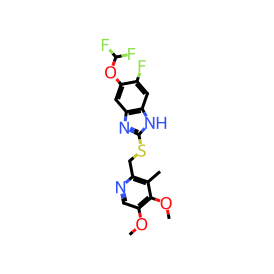 COc1cnc(CSc2nc3cc(OC(F)F)c(F)cc3[nH]2)c(C)c1OC